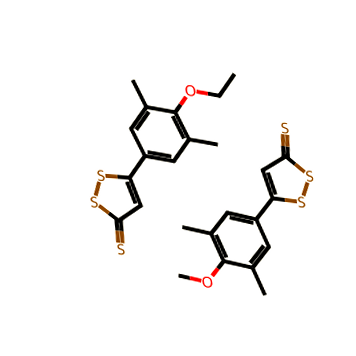 CCOc1c(C)cc(-c2cc(=S)ss2)cc1C.COc1c(C)cc(-c2cc(=S)ss2)cc1C